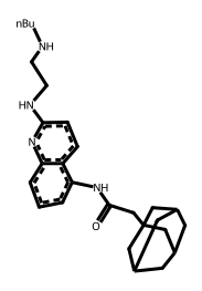 CCCCNCCNc1ccc2c(NC(=O)CC34CC5CC(CC(C5)C3)C4)cccc2n1